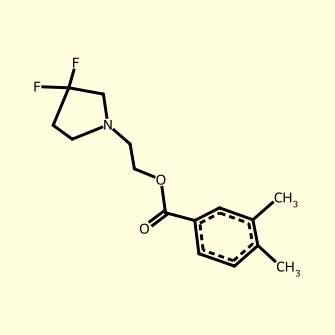 Cc1ccc(C(=O)OCCN2CCC(F)(F)C2)cc1C